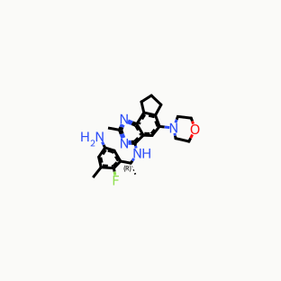 Cc1nc(N[C@H](C)c2cc(N)cc(C)c2F)c2cc(N3CCOCC3)c3c(c2n1)CCC3